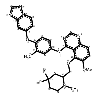 COc1ccc2ncnc(Nc3ccc(Oc4ccn5ncnc5c4)c(C)c3)c2c1OCC1CC(F)(F)CCN1C